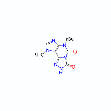 CCCCn1c(=O)n2c(=O)[nH]nc2c2c1ncn2C